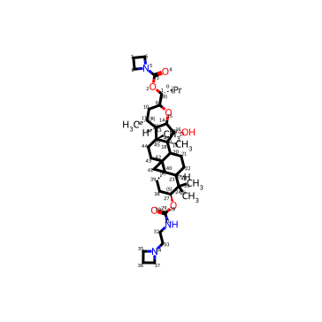 CC(C)[C@@H](OC(=O)N1CCC1)C1C[C@@H](C)[C@H]2C(O1)[C@H](O)[C@@]1(C)C3CC[C@H]4C(C)(C)[C@@H](OC(=O)NCCN5CCC5)CC[C@@]45CC35CC[C@]21C